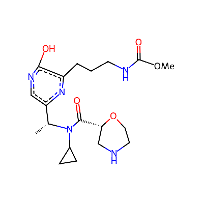 COC(=O)NCCCc1nc([C@@H](C)N(C(=O)[C@H]2CNCCO2)C2CC2)cnc1O